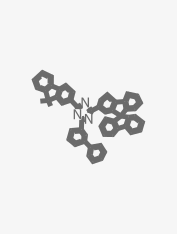 CC1(C)c2ccccc2-c2ccc(-c3nc(-c4cccc(-c5ccccc5)c4)nc(-c4ccc5c(c4)C4(c6ccccc6-c6ccccc64)c4ccccc4-5)n3)cc21